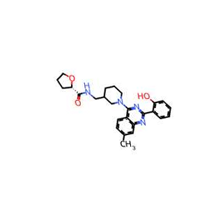 Cc1ccc2c(N3CCCC(CNC(=O)[C@@H]4CCCO4)C3)nc(-c3ccccc3O)nc2c1